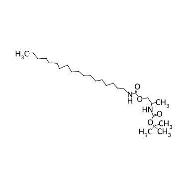 CCCCCCCCCCCCCCCCCCNC(=O)OCC(C)NC(=O)OC(C)(C)C